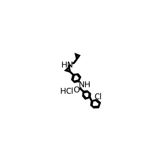 Cl.O=C(Nc1ccc(C2CC2NCC2CC2)cc1)c1ccc(-c2ccccc2Cl)cc1